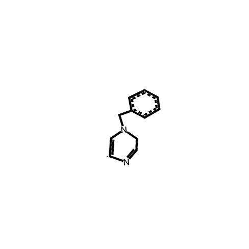 [C]1=CN(Cc2ccccc2)CC=N1